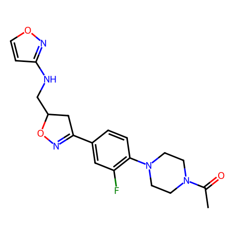 CC(=O)N1CCN(c2ccc(C3=NOC(CNc4ccon4)C3)cc2F)CC1